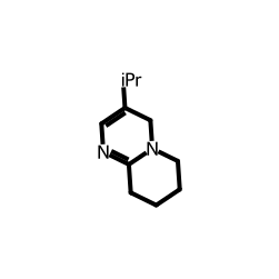 CC(C)C1=CN=C2CCCCN2C1